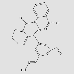 C=Cc1cc(C=NO)cc(-c2nn(-c3ccccc3[N+](=O)[O-])c(=O)c3ccccc23)c1